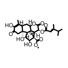 COC(=O)[C@]12OC[C@]34[C@H]([C@@H](O)[C@@H]1O)[C@@]1(C)CC(=O)C(O)=C(C)[C@@H]1C[C@H]3OC(=O)[C@H](OC(=O)/C=C(\C)C(C)C)[C@@H]24